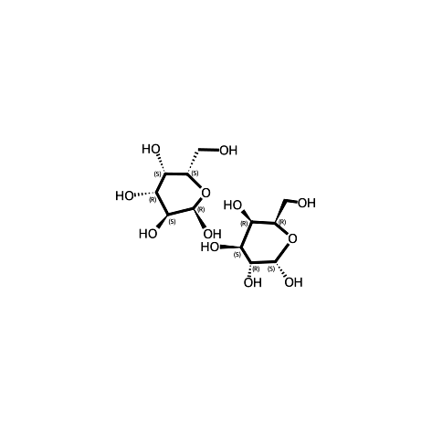 OC[C@@H]1O[C@@H](O)[C@@H](O)[C@H](O)[C@@H]1O.OC[C@H]1O[C@H](O)[C@H](O)[C@@H](O)[C@H]1O